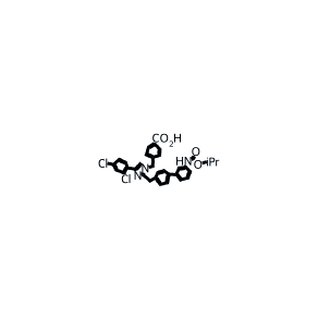 CC(C)OC(=O)Nc1cccc(-c2ccc(Cc3nc(-c4ccc(Cl)cc4Cl)cn3Cc3ccc(C(=O)O)cc3)cc2)c1